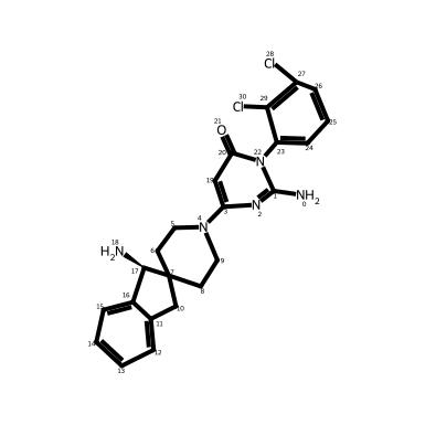 Nc1nc(N2CCC3(CC2)Cc2ccccc2[C@H]3N)cc(=O)n1-c1cccc(Cl)c1Cl